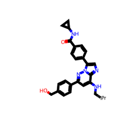 CC(C)CNc1cc(-c2ccc(CO)cc2)nn2c(-c3ccc(C(=O)NC4CC4)cc3)cnc12